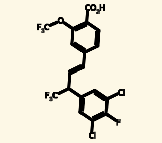 O=C(O)c1ccc(C=CC(c2cc(Cl)c(F)c(Cl)c2)C(F)(F)F)cc1OC(F)(F)F